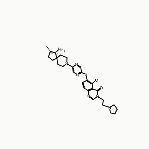 C[C@@H]1CCC2(CCN(c3cnc(Sc4ccc5ncn(CCN6CCCC6)c(=O)c5c4Cl)cn3)CC2)[C@@H]1N